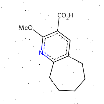 COc1nc2c(cc1C(=O)O)CCCCC2